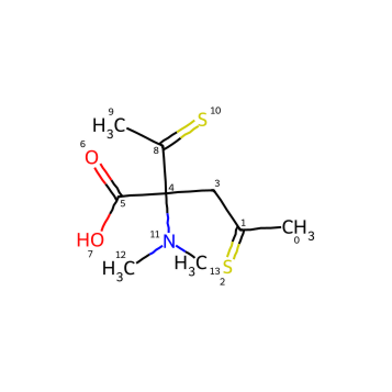 CC(=S)CC(C(=O)O)(C(C)=S)N(C)C